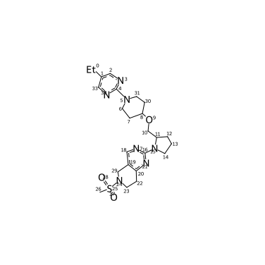 CCc1cnc(N2CCC(OCC3CCCN3c3ncc4c(n3)CCN(S(C)(=O)=O)C4)CC2)nc1